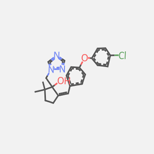 CC1(C)CCC(=Cc2ccc(Oc3ccc(Cl)cc3)cc2)C1(O)Cn1cncn1